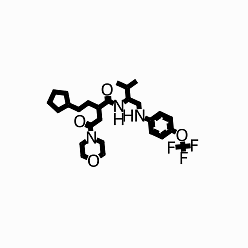 CC(C)C(CNc1ccc(OC(F)(F)F)cc1)NC(=O)C(CCC1CCCC1)CC(=O)N1CCOCC1